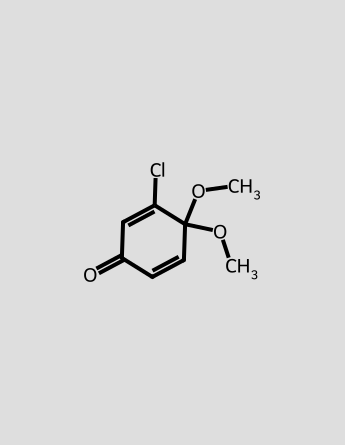 COC1(OC)C=CC(=O)C=C1Cl